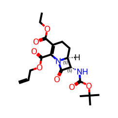 C=CCOC(=O)C1=C(C(=O)OCC)CC[C@H]2[C@H](NC(=O)OC(C)(C)C)C(=O)N12